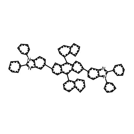 c1ccc(-c2nc3cc(-c4ccc5c(-c6cccc7ccccc67)c6cc(-c7ccc8c(c7)nc(-c7ccccc7)n8-c7ccccc7)ccc6c(-c6cccc7ccccc67)c5c4)ccc3n2-c2ccccc2)cc1